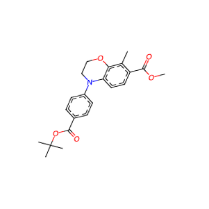 COC(=O)c1ccc2c(c1C)OCCN2c1ccc(C(=O)OC(C)(C)C)cc1